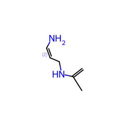 C=C(C)NC/C=C\N